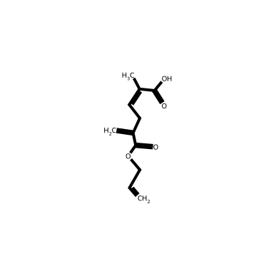 C=CCOC(=O)C(=C)CC=C(C)C(=O)O